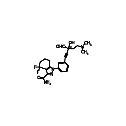 CN(C)CC[C@@](O)(C#Cc1cccc(-n2nc(C(N)=O)c3c2CCCC3(F)F)c1)C=O